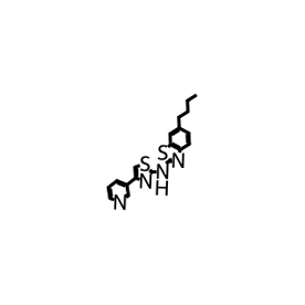 CCCCc1ccc2nc(Nc3nc(-c4cccnc4)cs3)sc2c1